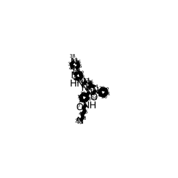 CN(C)C/C=C/C(=O)Nc1cccc(N2C(=O)N(c3ccccc3)Cc3cnc(Nc4ccc(N5CCN(C)CC5)nc4)nc32)c1